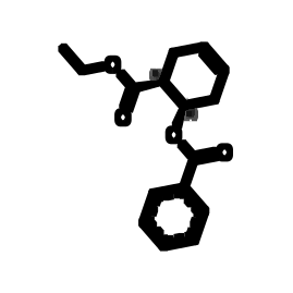 CCOC(=O)[C@H]1CC=CC[C@H]1OC(=O)c1ccccc1